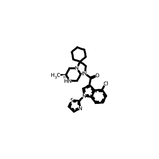 C[C@H]1CN(C2(CNC(=O)c3cn(-c4nccs4)c4cccc(Cl)c34)CCCCC2)CCN1